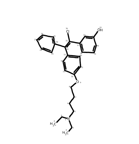 CCN(CC)CCCCOc1ccc(/C(=C(/Cl)c2cccc(O)c2)c2ccccc2)cc1